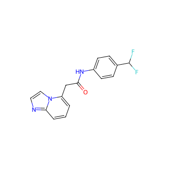 O=C(Cc1cccc2nccn12)Nc1ccc(C(F)F)cc1